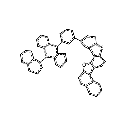 c1cc(-c2ccc3sc4ccc5c(oc6ccc7ccccc7c65)c4c3c2)cc(-c2c3ccccc3c(-c3cccc4ccccc34)c3ccccc23)c1